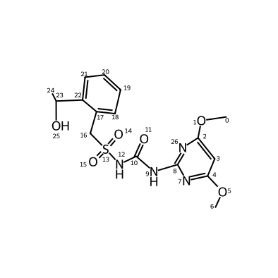 COc1cc(OC)nc(NC(=O)NS(=O)(=O)Cc2ccccc2C(C)O)n1